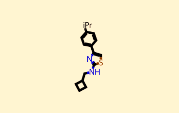 CC(C)c1ccc(-c2csc(NCC3CCC3)n2)cc1